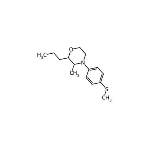 CCCC1OCCN(c2ccc(SC)cc2)C1C